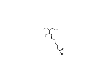 CCCC(CC)C(CC)CCCCCCC(=O)O